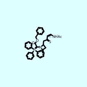 CC(=O)N/C=C\C(=S)CC1CC(=O)N1C(C(=O)OCc1ccccc1)=P(c1ccccc1)(c1ccccc1)c1ccccc1